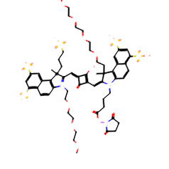 COCCOCCOCCOCCC1(C)/C(=C\C2=C(O)C(=C/C3=[N+](CCOCCOCCOC)c4ccc5c(S(=O)(=O)O)cc(S(=O)(=O)O)cc5c4C3(C)CCCS(=O)(=O)O)/C2=O)N(CCCC(=O)ON2C(=O)CCC2=O)c2ccc3c(S(=O)(=O)O)cc(S(=O)(=O)O)cc3c21